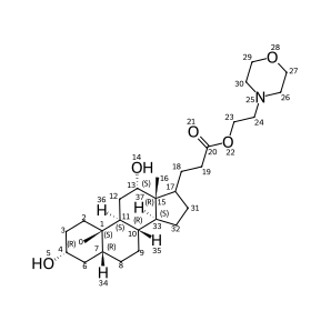 C[C@]12CC[C@@H](O)C[C@H]1CC[C@@H]1[C@@H]2C[C@H](O)[C@]2(C)C(CCC(=O)OCCN3CCOCC3)CC[C@@H]12